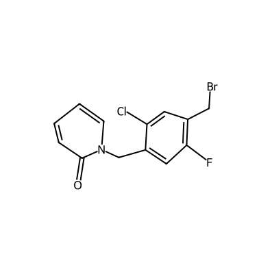 O=c1ccccn1Cc1cc(F)c(CBr)cc1Cl